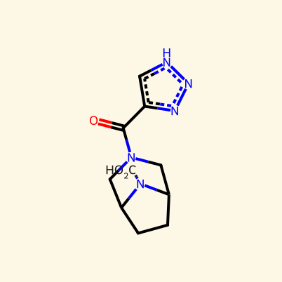 O=C(c1c[nH]nn1)N1CC2CCC(C1)N2C(=O)O